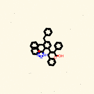 O=C(O)C(=C(Cc1ccccc1)c1ccc(Cc2ccccc2)c(Cc2ccccc2)c1-c1[nH]nnc1-c1ccccc1)c1ccccc1